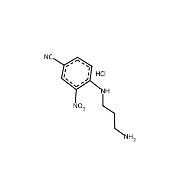 Cl.N#Cc1ccc(NCCCN)c([N+](=O)[O-])c1